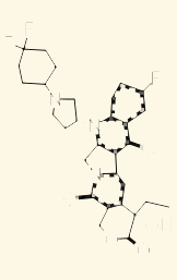 CC[C@@]1(O)C(=O)OCc2c1cc1n(c2=O)Cc2c-1c(=O)c1cc(F)ccc1n2[C@@H]1CCN(C2CCC(F)(F)CC2)C1